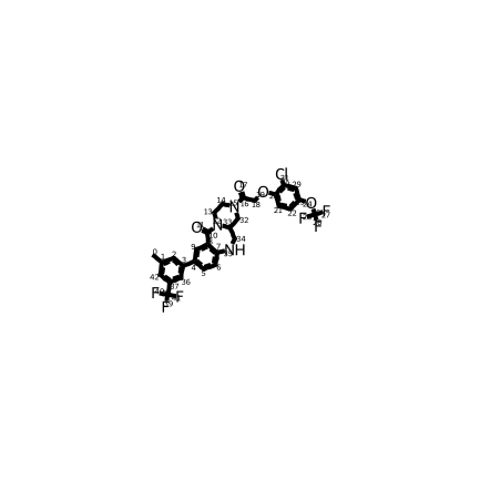 Cc1cc(-c2ccc3c(c2)C(=O)N2CCN(C(=O)COc4ccc(OC(F)(F)F)cc4Cl)CC2CN3)cc(C(F)(F)F)c1